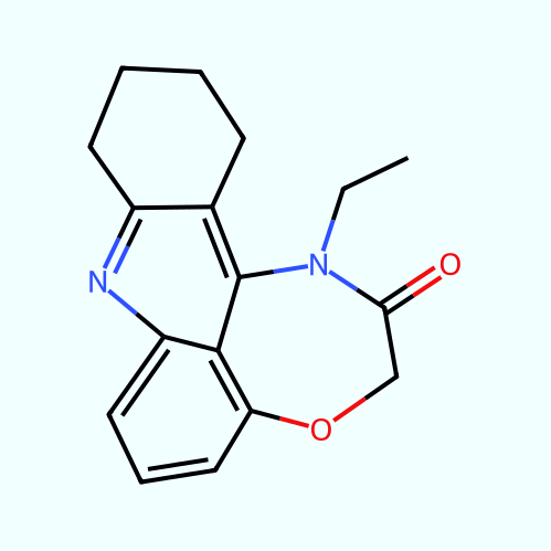 CCN1C(=O)COc2cccc3nc4c(c1c23)CCCC4